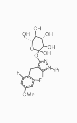 COc1cc(F)c(Cc2c(O[C@]3(O)O[C@H](CO)[C@@H](O)[C@H](O)[C@H]3O)nn(C(C)C)c2C)c(F)c1